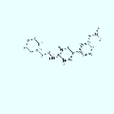 CN(C)Cc1cccc(-c2cnc(NCCN3CCCCC3)nc2)c1